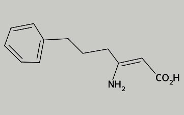 NC(=CC(=O)O)CCCc1ccccc1